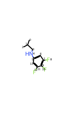 CC(C)CNc1cc(F)c(F)c(F)c1